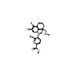 CNCC1(COc2ccc(C(=O)OC)nc2Br)CCCc2c1ccc(Cl)c2F